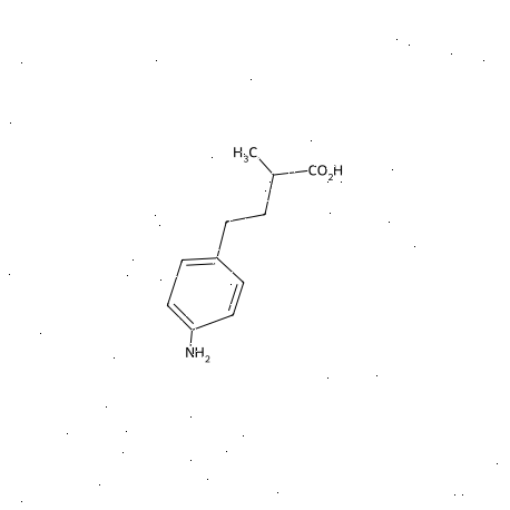 CC(CCc1ccc(N)cc1)C(=O)O